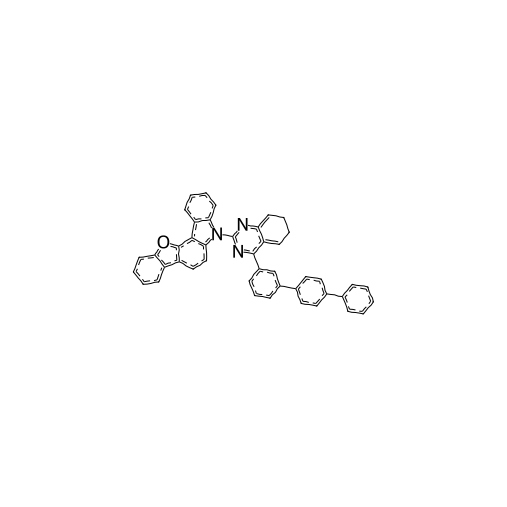 C1=c2nc(-n3c4ccccc4c4c5oc6ccccc6c5ccc43)nc(-c3cccc(-c4ccc(-c5ccccc5)cc4)c3)c2=CCC1